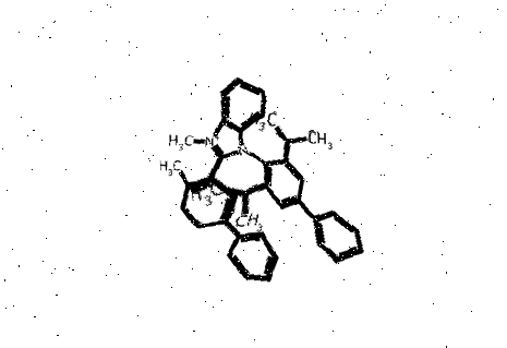 Cc1ccc(-c2ccccc2)cc1-c1n(-c2c(C(C)C)cc(-c3ccccc3)cc2C(C)C)c2ccccc2[n+]1C